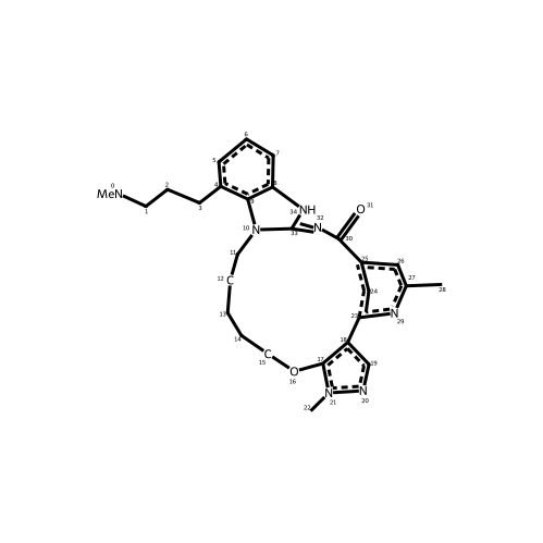 CNCCCc1cccc2c1N1CCCCCOc3c(cnn3C)-c3cc(cc(C)n3)C(=O)/N=C/1N2